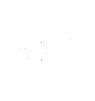 CCOc1cc(-c2ncc(C(=O)NC)c(N)n2)ccc1OC